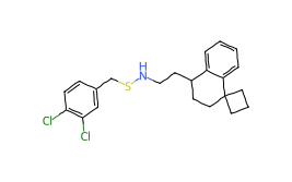 Clc1ccc(CSNCCC2CCC3(CCC3)c3ccccc32)cc1Cl